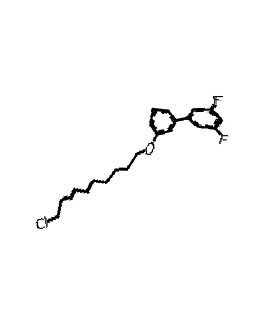 Fc1cc(F)cc(-c2cccc(OCCCCCCCCCCCl)c2)c1